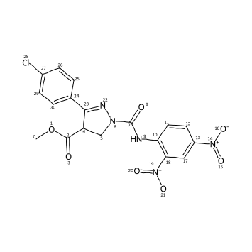 COC(=O)C1CN(C(=O)Nc2ccc([N+](=O)[O-])cc2[N+](=O)[O-])N=C1c1ccc(Cl)cc1